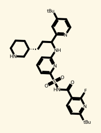 CC(C)(C)c1ccnc(C(CC[C@H]2CCCNC2)Nc2cccc(S(=O)(=O)NC(=O)c3ccc(C(C)(C)C)nc3F)n2)c1